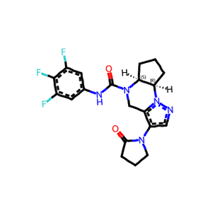 O=C1CCCN1c1cnn2c1CN(C(=O)Nc1cc(F)c(F)c(F)c1)[C@H]1CCC[C@H]12